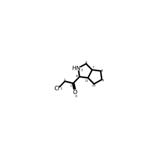 O=C(CCl)C1NCC2CCCC21